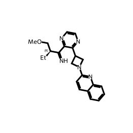 CC[C@@H](COC)C(=N)c1nccnc1C1CN(c2ccc3ccccc3n2)C1